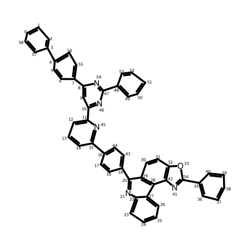 c1ccc(-c2ccc(-c3cc(-c4cccc(-c5ccc(-c6nc7ccccc7c7c6ccc6oc(-c8ccccc8)nc67)cc5)n4)nc(-c4ccccc4)n3)cc2)cc1